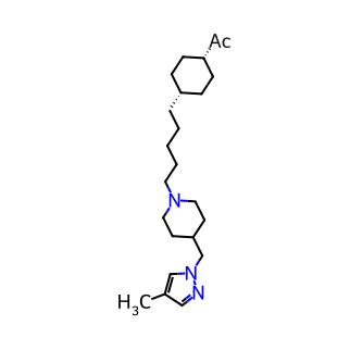 Cc1cnn(CC2CCN(CCCCC[C@H]3CC[C@@H](C(C)=O)CC3)CC2)c1